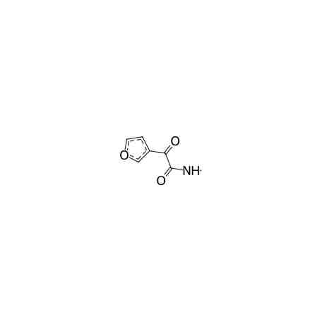 [NH]C(=O)C(=O)c1ccoc1